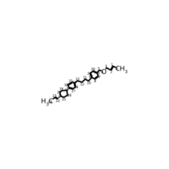 CC=CCOCc1ccc(CCCCc2ccc([C@H]3CC[C@H](C=CC)CC3)cc2)cc1